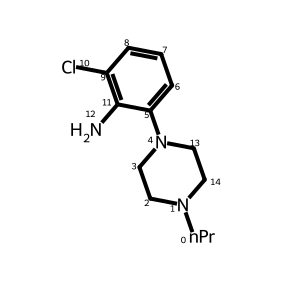 CCCN1CCN(c2cccc(Cl)c2N)CC1